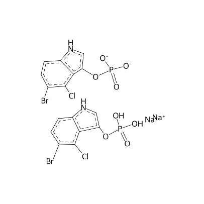 O=P(O)(O)Oc1c[nH]c2ccc(Br)c(Cl)c12.O=P([O-])([O-])Oc1c[nH]c2ccc(Br)c(Cl)c12.[Na+].[Na+]